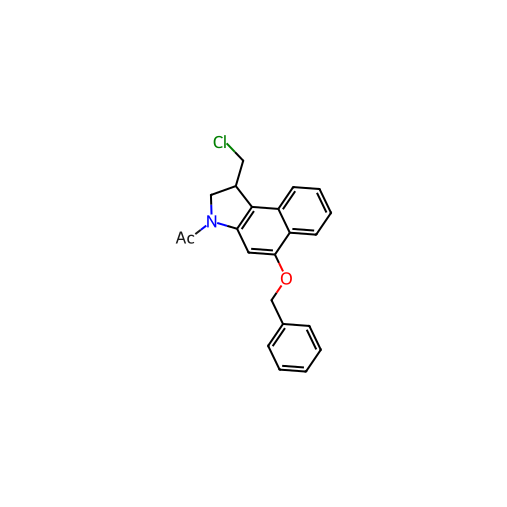 CC(=O)N1CC(CCl)c2c1cc(OCc1ccccc1)c1ccccc21